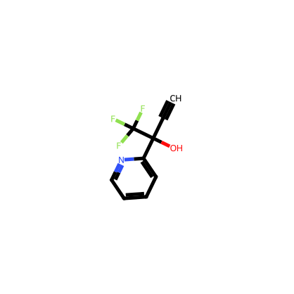 C#CC(O)(c1ccccn1)C(F)(F)F